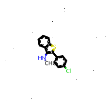 O=CNc1c(-c2ccc(Cl)cc2)sc2ccccc12